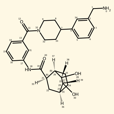 NCc1cccc(C2CCN(C(=O)c3cccc(NC(=O)[C@@H]4C[C@@H]5CC[C@H]4[C@H](O)[C@@H]5O)c3)CC2)c1